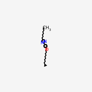 CCCCCCCCc1cnc(-c2ccc(OCCCCCCCCCC3CC3)cc2)nc1